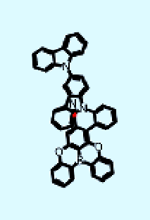 N#Cc1cc2c3c(c1-c1ccccc1-n1c4ccccc4c4cc(-n5c6ccccc6c6ccccc65)ccc41)Oc1ccccc1B3c1ccccc1O2